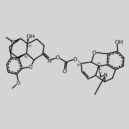 COc1ccc2c3c1OC1C(=NOC(=O)O[C@H]4C=CC5C6Cc7ccc(O)c8c7[C@@]5(CCN6C)C4O8)CC[C@@]4(O)C(C2)N(C)CC[C@]314